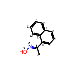 CC(=NO)c1cccc2ccccc12